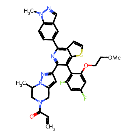 C=CC(=O)N1Cc2cc(-c3nc(-c4ccc5c(cnn5C)c4)c4ccsc4c3-c3c(F)cc(F)cc3OCCOC)nn2C(C)C1